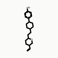 C=CC1CCC(CCC2CCC(c3ccc(CCC)cc3)CC2)OC1